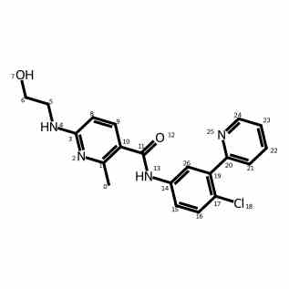 Cc1nc(NCCO)ccc1C(=O)Nc1ccc(Cl)c(-c2ccccn2)c1